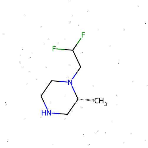 C[C@@H]1CNCCN1CC(F)F